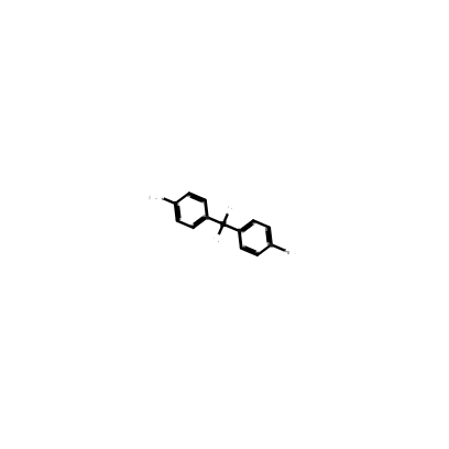 CCC(C)c1ccc(C(N)(N)c2ccc(C(C)CC)cc2)cc1